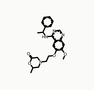 COc1cc2ncnc(NC(C)c3ccccc3)c2cc1OCCN1CC(=O)OC(C)C1